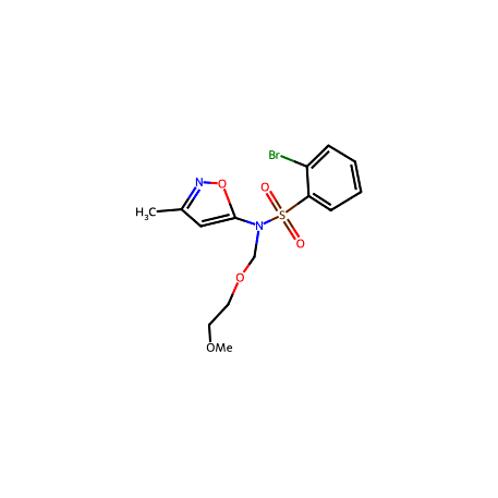 COCCOCN(c1cc(C)no1)S(=O)(=O)c1ccccc1Br